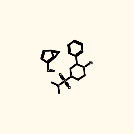 CCN1CCN(S(=O)(=O)N(C)C)CC1c1ccccc1.COc1ccc2cc1-2